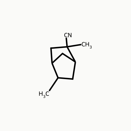 CC1CC2CC1CC2(C)C#N